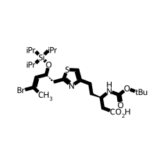 C/C(Br)=C\[C@@H](Cc1nc(CC[C@H](CC(=O)O)NC(=O)OC(C)(C)C)cs1)O[Si](C(C)C)(C(C)C)C(C)C